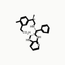 Cc1ccc([C@@H](C)CN[C@H](c2ccccc2)[C@H]2CNc3cccnc3N2)cc1CC(=O)O